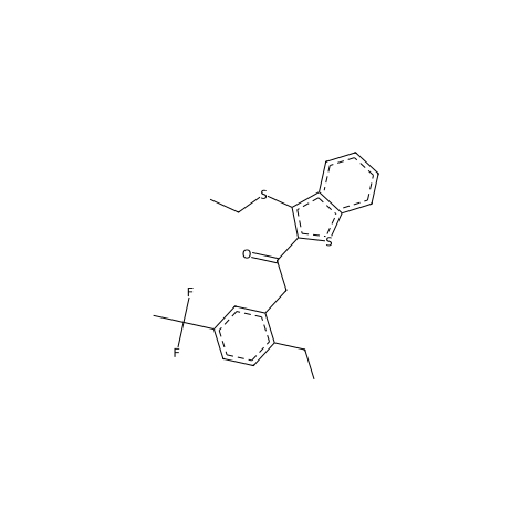 CCSc1c(C(=O)Cc2cc(C(C)(F)F)ccc2CC)sc2ccccc12